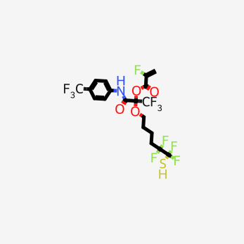 C=C(F)C(=O)OC(OCCCCC(F)(F)C(F)(F)S)(C(=O)Nc1ccc(C(F)(F)F)cc1)C(F)(F)F